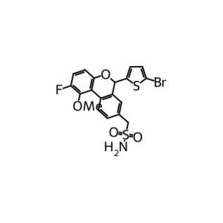 COc1c(F)ccc2c1-c1ccc(CS(N)(=O)=O)cc1C(c1ccc(Br)s1)O2